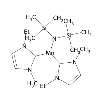 CCN1C=CN(C)[CH]1[Mn]([CH]1N(C)C=CN1CC)[N]([Si](C)(C)C)[Si](C)(C)C